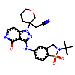 CC(C)(C)N1Cc2cc(Nc3nn(C4(CC#N)CCCOC4)c4cc[nH]c(=O)c34)ccc2S1(=O)=O